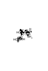 C#C[C@@]1(F)[C@H](O)[C@@H](COP(=O)(O)OP(=O)(O)O)O[C@H]1n1cnc2c(NC)nc(N)nc21